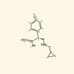 C=C(C(C)C)[C@H](CNCC1CC1)c1ccc(Cl)cc1